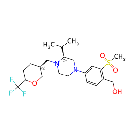 CC(C)[C@H]1CN(c2ccc(CO)c(S(C)(=O)=O)c2)CCN1C[C@@H]1CCC(C(F)(F)F)OC1